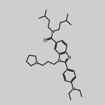 CCN(CC)c1ccc(-c2nc3ccc(C(=O)N(CCC(C)C)CCC(C)C)cc3n2CCCN2CCCC2)cc1